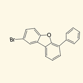 Brc1ccc2oc3c(-c4ccccc4)cccc3c2c1